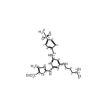 CCOC(=O)c1sc(Nc2nc(NCCCN(CC)CC)cc(NCc3ccc(S(C)(=O)=O)cc3)n2)nc1C